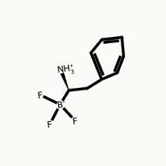 [NH3+][C@@H](Cc1ccccc1)[B-](F)(F)F